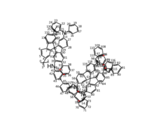 CC(C)(C)c1ccc2c(c1)C1(c3cc(N(c4ccccc4)c4ccccc4)ccc3-c3cc(-c4ccccc4)c(Nc4ccc(-c5cccc(N(c6ccccc6)c6ccc7c(c6)C6(c8cc(N(c9ccccc9)c9ccccc9)ccc8-c8ccc(N(c9ccccc9)c9ccccc9)cc86)c6cc(N(c8ccccc8)c8ccccc8)ccc6-7)c5)cc4)cc31)c1cc(C(C)(C)C)ccc1-2